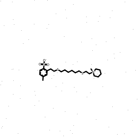 Cc1ccc(S(=O)(=O)[O-])c(CCSCCCCCCSCC[N+]2(C)CCCCC2)c1